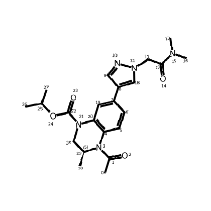 CC(=O)N1c2ccc(-c3cnn(CC(=O)N(C)C)c3)cc2N(C(=O)OC(C)C)C[C@@H]1C